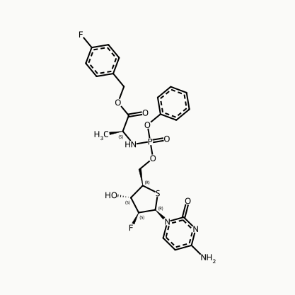 C[C@H](NP(=O)(OC[C@H]1S[C@@H](n2ccc(N)nc2=O)[C@@H](F)[C@@H]1O)Oc1ccccc1)C(=O)OCc1ccc(F)cc1